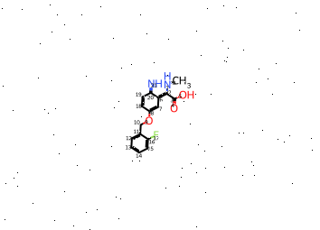 CN/C(C(=O)O)=C1/C=C(OCc2ccccc2F)C=CC1=N